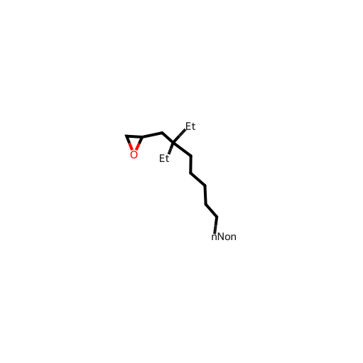 CCCCCCCCCCCCCCC(CC)(CC)CC1CO1